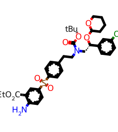 CCOC(=O)c1cc(S(=O)(=O)c2ccc(CCN(C[C@H](OC3CCCCO3)c3cccc(Cl)c3)C(=O)OC(C)(C)C)cc2)ccc1N